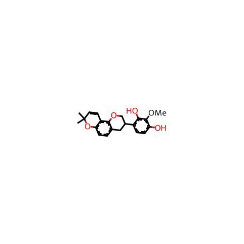 COc1c(O)ccc(C2COc3c(ccc4c3C=CC(C)(C)O4)C2)c1O